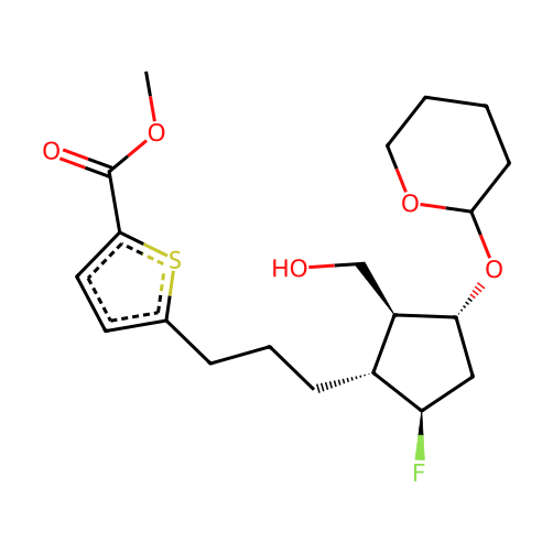 COC(=O)c1ccc(CCC[C@@H]2[C@@H](CO)[C@H](OC3CCCCO3)C[C@H]2F)s1